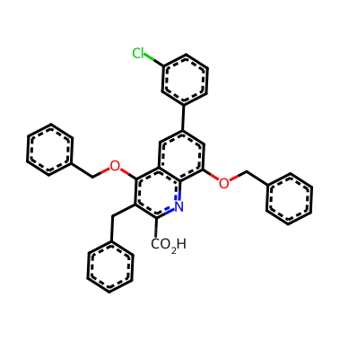 O=C(O)c1nc2c(OCc3ccccc3)cc(-c3cccc(Cl)c3)cc2c(OCc2ccccc2)c1Cc1ccccc1